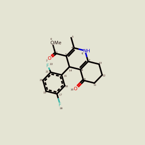 COC(=O)C1=C(C)NC2=C(C(=O)CCC2)C1c1cc(F)ccc1F